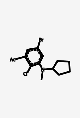 CC(=O)c1cc(Br)cc(N(C)C2CCCC2)c1Cl